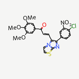 COc1cc(C(=O)/C=C/c2c(-c3ccc(Cl)c([N+](=O)[O-])c3)nc3sccn23)cc(OC)c1OC